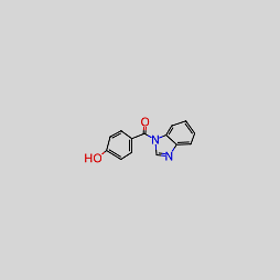 O=C(c1ccc(O)cc1)n1cnc2ccccc21